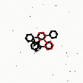 c1ccc(-c2cccnc2-c2c(-c3ccccc3)nnnc2-c2cccnc2-c2c(-c3ccccc3)ccc3oc4ccccc4c23)cc1